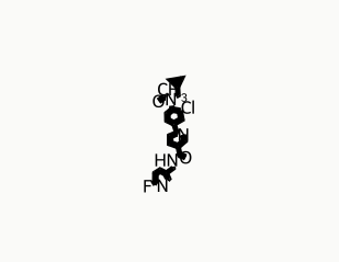 CC(=O)N(CC1CC1)c1ccc(-c2ccc(C(=O)NCc3ccc(F)nc3)cn2)cc1Cl